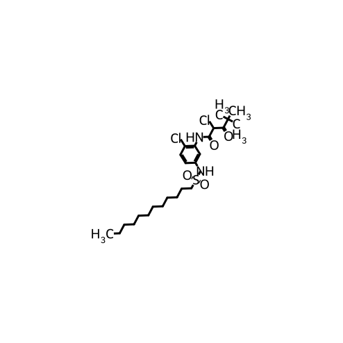 CCCCCCCCCCCCS(=O)(=O)Nc1ccc(Cl)c(NC(=O)C(Cl)C(=O)C(C)(C)C)c1